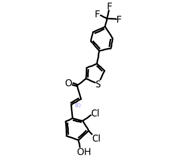 O=C(/C=C/c1ccc(O)c(Cl)c1Cl)c1cc(-c2ccc(C(F)(F)F)cc2)cs1